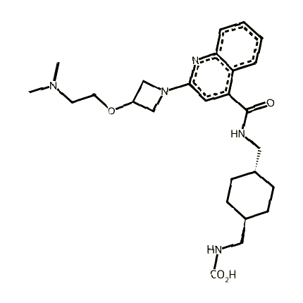 CN(C)CCOC1CN(c2cc(C(=O)NC[C@H]3CC[C@H](CNC(=O)O)CC3)c3ccccc3n2)C1